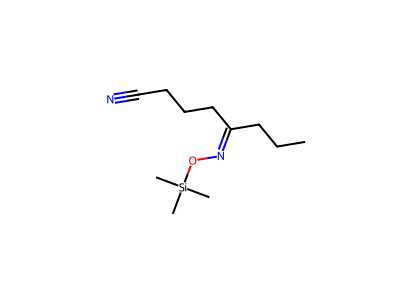 CCCC(CCCC#N)=NO[Si](C)(C)C